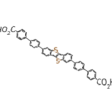 O=C(O)c1ccc(-c2ccc(-c3ccc4c(c3)sc3c5ccc(-c6ccc(-c7ccc(C(=O)O)cc7)cc6)cc5sc43)cc2)cc1